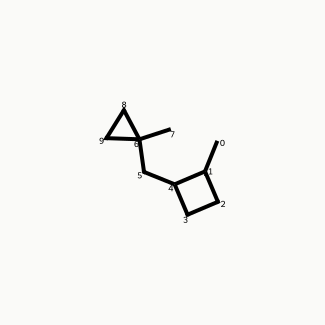 C[C]1CCC1CC1(C)CC1